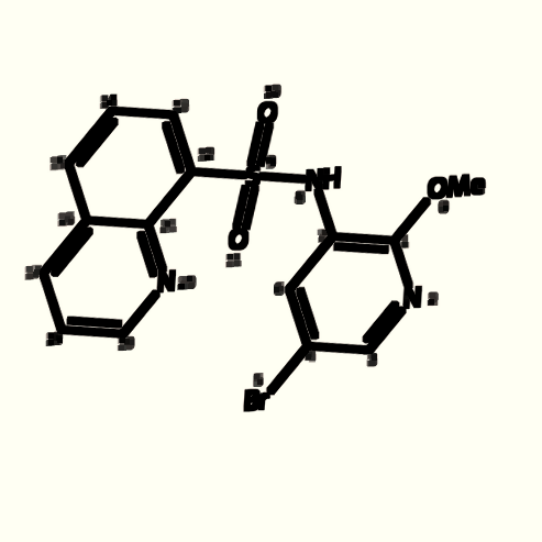 COc1ncc(Br)cc1NS(=O)(=O)c1cccc2cccnc12